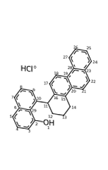 Cl.Oc1cccc2cccc(C3CCCc4c3ccc3c4ccc4ccccc43)c12